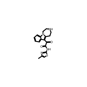 Cc1csc(NC(=O)C(=O)c2c3n(c4ccccc24)CCNCC3)n1